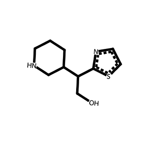 OCC(c1nccs1)C1CCCNC1